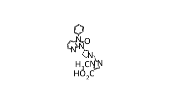 Cn1c(C(=O)O)cnc1CN1CCC(n2c(=O)n(-c3ccccc3)c3cccnc32)C1